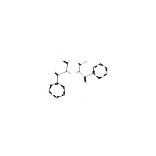 CC(=O)C(OC(C(C)=O)C(=O)c1ccccc1)C(=O)c1ccccc1.[V+4]